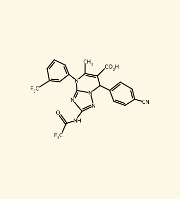 CC1=C(C(=O)O)C(c2ccc(C#N)cc2)n2nc(NC(=O)C(F)(F)F)nc2N1c1cccc(C(F)(F)F)c1